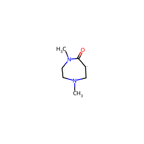 CN1C[CH]C(=O)N(C)CC1